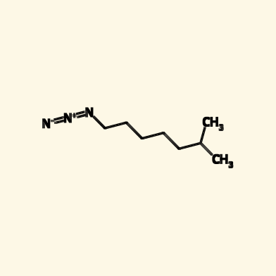 CC(C)CCCCCN=[N+]=[N-]